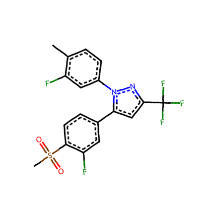 Cc1ccc(-n2nc(C(F)(F)F)cc2-c2ccc(S(C)(=O)=O)c(F)c2)cc1F